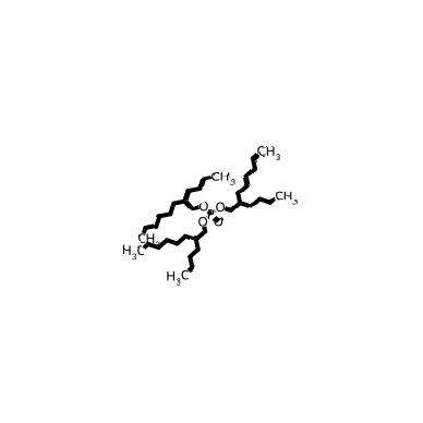 CCCCCCC(CCCC)COP(=O)(OCC(CCCC)CCCCCC)OCC(CCCC)CCCCCC